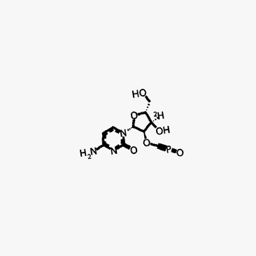 [2H][C@@]1(O)[C@@H](CO)O[C@@H](n2ccc(N)nc2=O)[C@@H]1OC#P=O